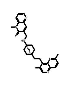 Cc1ccc2ncc(F)c(CCC34CCC(NCc5cc6ncccc6n(C)c5=O)(CC3)CO4)c2n1